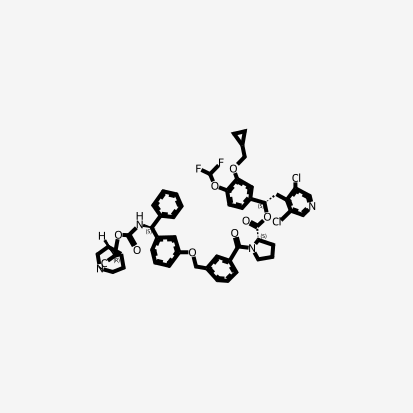 O=C(N[C@@H](c1ccccc1)c1cccc(OCc2cccc(C(=O)N3CCC[C@H]3C(=O)O[C@@H](Cc3c(Cl)cncc3Cl)c3ccc(OC(F)F)c(OCC4CC4)c3)c2)c1)O[C@H]1CN2CCC1CC2